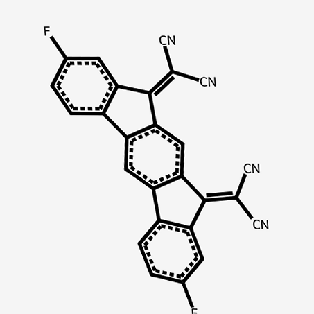 N#CC(C#N)=C1c2cc(F)ccc2-c2cc3c(cc21)C(=C(C#N)C#N)c1cc(F)ccc1-3